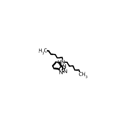 CCCCCCNCCCCCC.c1cc2c3nnn(c3c1)C2